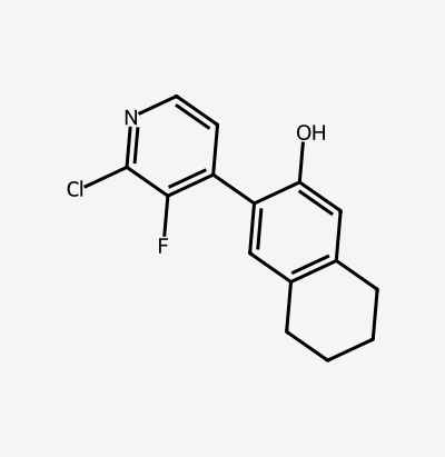 Oc1cc2c(cc1-c1ccnc(Cl)c1F)CCCC2